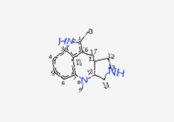 Cc1[nH]c2cccc(N(C)[C@H]3CCNC3)c2c1C